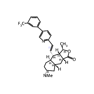 CN[C@@H]1CC[C@@H]2[C@@H](C1)C[C@H]1C(=O)O[C@H](C)[C@H]1[C@H]2/C=C/c1ccc(-c2cccc(C(F)(F)F)c2)cn1